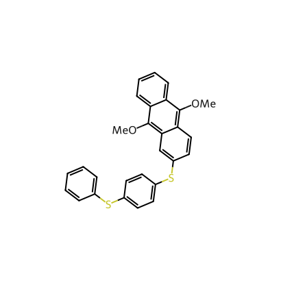 COc1c2ccccc2c(OC)c2cc(Sc3ccc(Sc4ccccc4)cc3)ccc12